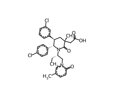 CC[C@@H](Cn1cc(C)ccc1=O)N1C(=O)[C@@](C)(CC(=O)O)C[C@H](c2cccc(Cl)c2)[C@H]1c1ccc(Cl)cc1